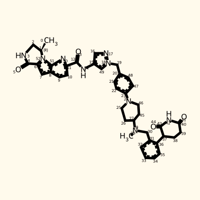 C[C@@H]1CNC(=O)c2cc3ccc(C(=O)Nc4cnn(Cc5ccc(N6CCC(N(C)Cc7ccccc7C7CCC(=O)NC7=O)CC6)cc5)c4)nc3n21